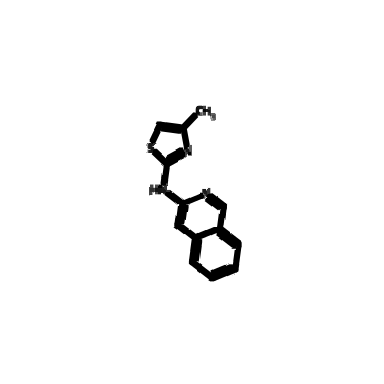 Cc1csc(Nc2cc3ccccc3cn2)n1